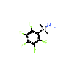 C[Si](C)(N)c1c(F)c(F)c(F)c(F)c1F